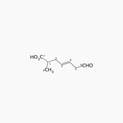 CC(CC=CCC=O)C(=O)O